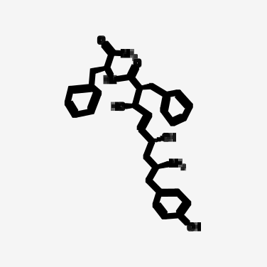 NC(=O)[C@H](Cc1ccccc1)NC(=O)[C@@H](Cc1ccccc1)[C@H](O)/C=C/[C@H](O)C[C@@H](N)Cc1ccc(O)cc1